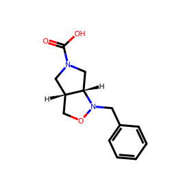 O=C(O)N1C[C@H]2CON(Cc3ccccc3)[C@H]2C1